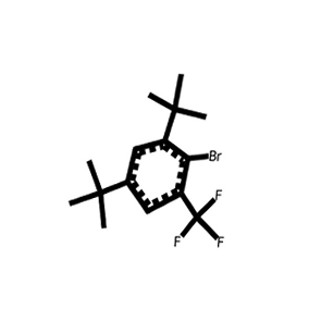 CC(C)(C)c1cc(C(C)(C)C)c(Br)c(C(F)(F)F)c1